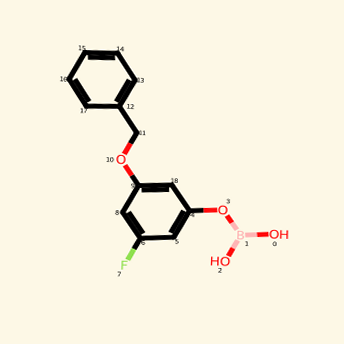 OB(O)Oc1cc(F)cc(OCc2ccccc2)c1